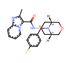 Cc1nc2ccccn2c1C(=O)N[C@H]1C[C@H]2COC[C@@H](C1)N2Cc1ccc(F)cc1